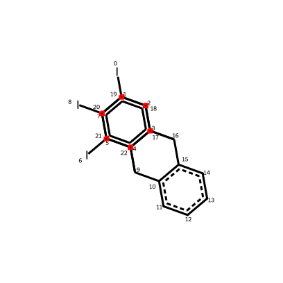 Ic1cc2c(c(I)c1I)C1c3ccccc3C2c2ccccc21